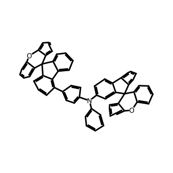 c1ccc(N(c2ccc(-c3cccc4c3-c3ccccc3C43c4ccccc4Oc4ccccc43)cc2)c2ccc3c(c2)C2(c4ccccc4Oc4ccccc42)c2ccccc2-3)cc1